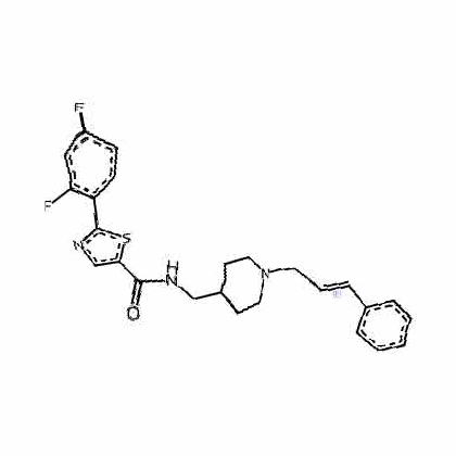 O=C(NCC1CCN(C/C=C/c2ccccc2)CC1)c1cnc(-c2ccc(F)cc2F)s1